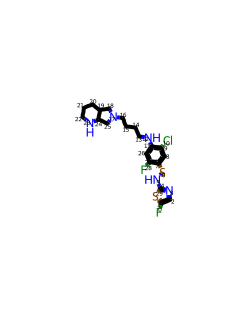 Fc1cnc(NSc2cc(Cl)c(NCCCCN3CC4CCCNC4C3)cc2F)s1